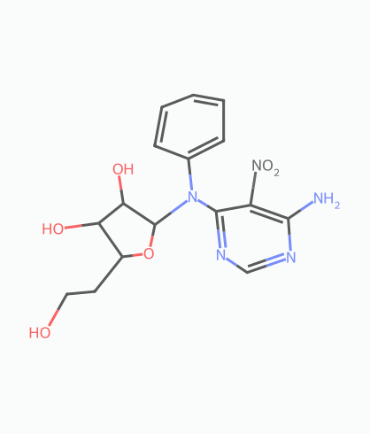 Nc1ncnc(N(c2ccccc2)C2OC(CCO)C(O)C2O)c1[N+](=O)[O-]